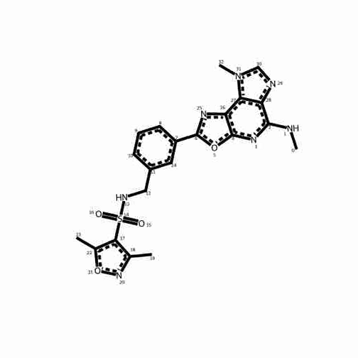 CNc1nc2oc(-c3cccc(CNS(=O)(=O)c4c(C)noc4C)c3)nc2c2c1ncn2C